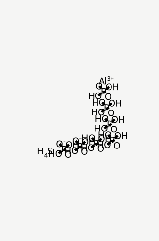 O=P(O)(O)O.O=P(O)(O)O.O=P(O)(O)O.O=P(O)(O)O.O=P([O-])(O)O.O=P([O-])(O)O.O=P([O-])(O)O.[Al+3].[SiH4]